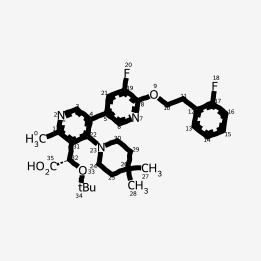 Cc1ncc(-c2cnc(OCCc3ccccc3F)c(F)c2)c(N2CCC(C)(C)CC2)c1[C@H](OC(C)(C)C)C(=O)O